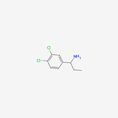 CCC(N)c1ccc(Cl)c(Cl)c1